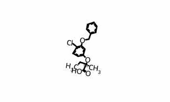 CC[C@](C)(Oc1ccc(Cl)c(OCc2ccccc2)c1)C(=O)O